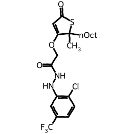 CCCCCCCCC1(C)SC(=O)C=C1OCC(=O)NNc1cc(C(F)(F)F)ccc1Cl